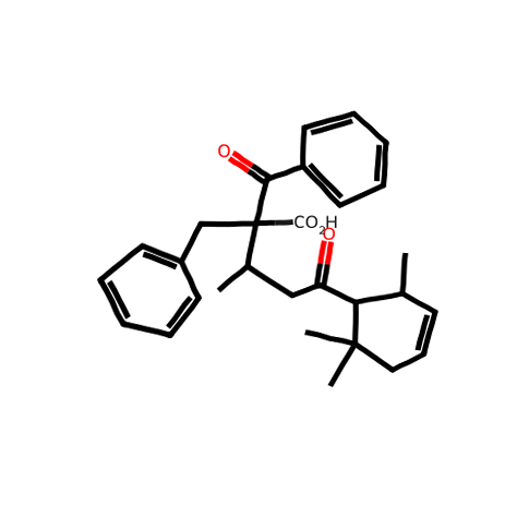 CC1C=CCC(C)(C)C1C(=O)CC(C)C(Cc1ccccc1)(C(=O)O)C(=O)c1ccccc1